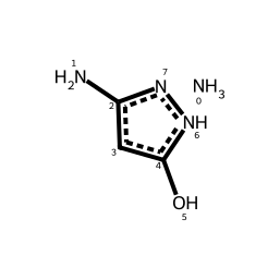 N.Nc1cc(O)[nH]n1